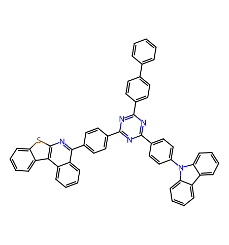 c1ccc(-c2ccc(-c3nc(-c4ccc(-c5nc6sc7ccccc7c6c6ccccc56)cc4)nc(-c4ccc(-n5c6ccccc6c6ccccc65)cc4)n3)cc2)cc1